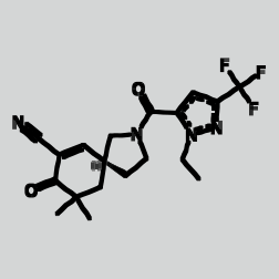 CCn1nc(C(F)(F)F)cc1C(=O)N1CC[C@@]2(C=C(C#N)C(=O)C(C)(C)C2)C1